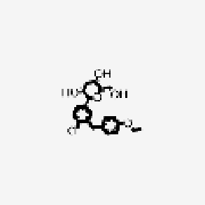 CCOc1ccc(Cc2cc([C@@H]3O[C@H](CO)[C@@H](O)C[C@H]3O)ccc2Cl)cc1